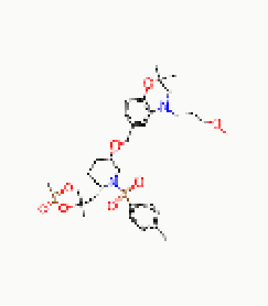 COCCCN1CC(C)(C)Oc2ccc(CO[C@@H]3CC[C@@H](CC(C)(C)OS(C)(=O)=O)N(S(=O)(=O)c4ccc(C)cc4)C3)cc21